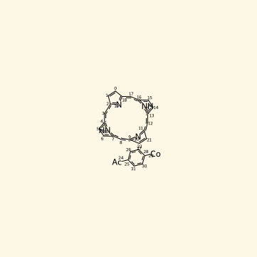 C1=Cc2cc3ccc(cc4nc(cc5ccc(cc1n2)[nH]5)C=C4)[nH]3.CC(=O)c1cc[c]([Co])cc1